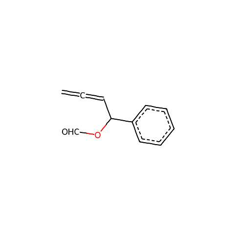 C=C=CC(OC=O)c1ccccc1